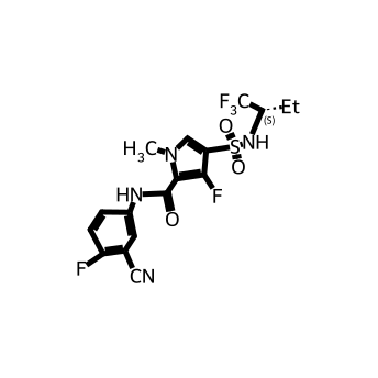 CC[C@H](NS(=O)(=O)c1cn(C)c(C(=O)Nc2ccc(F)c(C#N)c2)c1F)C(F)(F)F